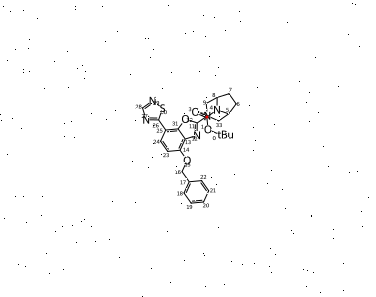 CC(C)(C)OC(=O)N1C2CCC1CN(c1nc3c(OCc4ccccc4)ccc(-c4ncns4)c3o1)C2